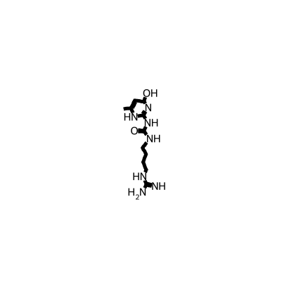 CC1=CC(O)N=C(NC(=O)NCCCCNC(=N)N)N1